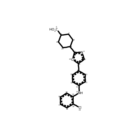 O=C(O)C1CCC(c2ncc(-c3ccc(Nc4ccccc4Cl)cc3)o2)CC1